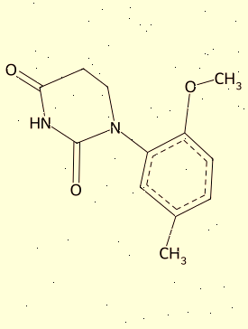 COc1ccc(C)cc1N1CCC(=O)NC1=O